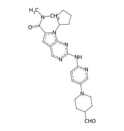 CN(C)C(=O)c1cc2cnc(Nc3ccc(N4CCC(C=O)CC4)cn3)nc2n1C1CCCC1